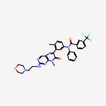 Cc1ccc(N(C(=O)c2cccc(C(F)(F)F)c2)c2ccccc2)cc1-c1nc2cnc(NCCN3CCOCC3)nc2n(C)c1=O